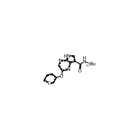 CC[C@H](C)NC(=O)c1c[nH]c2ncc(Oc3ccccc3)nc12